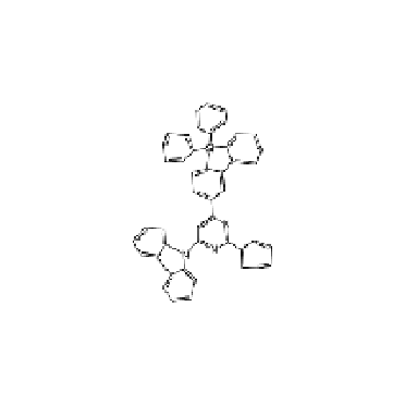 c1ccc(-c2nc(-c3ccc4c(c3)-c3ccccc3[Si]4(c3ccccc3)c3ccccc3)cc(-n3c4ccccc4c4ccccc43)n2)cc1